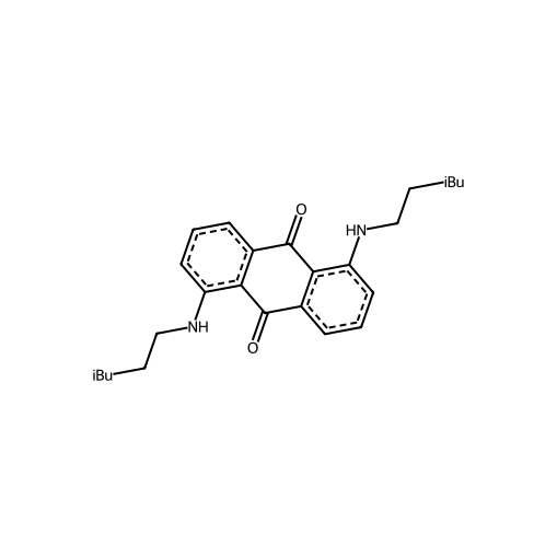 CCC(C)CCNc1cccc2c1C(=O)c1cccc(NCCC(C)CC)c1C2=O